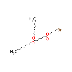 CCCCCCCCOC(CCCCC(=O)OCCCCBr)OCCCCCCCC